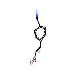 N#Cc1ccc(/C=C/N=O)cc1